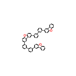 c1cc(-c2cccc(-c3ccc4oc5ccc(-c6cccc(-c7cccc(-c8ccc9oc%10ccccc%10c9c8)c7)c6)cc5c4c3)c2)cc(-c2ccc3oc4ccccc4c3c2)c1